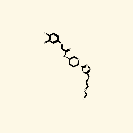 O=C(COc1ccc(C(F)(F)F)c(F)c1)N[C@@H]1CC[C@@H](c2nnc(OCCOCC(F)(F)F)o2)OC1